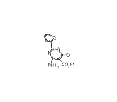 CCOC(=O)c1c(N)nc(-c2ccco2)nc1Cl